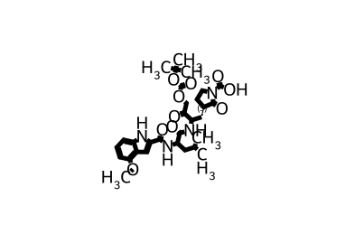 COc1cccc2[nH]c(C(=O)NC(CC(C)C)C(=O)NC(C[C@@H]3CCN(C(=O)O)C3=O)C(=O)COC(=O)OC(C)(C)C)cc12